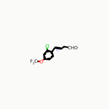 O=[C]C/C=C/c1ccc(OC(F)(F)F)cc1Cl